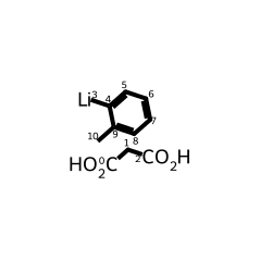 O=C(O)CC(=O)O.[Li][c]1ccccc1C